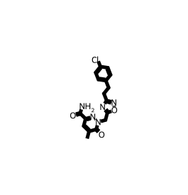 Cc1cc(C(N)=O)nn(Cc2nc(CCc3ccc(Cl)cc3)no2)c1=O